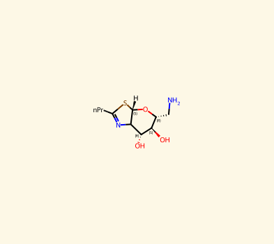 CCCC1=NC2[C@@H](O)[C@H](O)[C@@H](CN)O[C@H]2S1